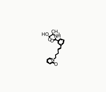 CC(NC(=O)c1cccc(C=CCCCn2ccccc2=O)c1)C(=O)O